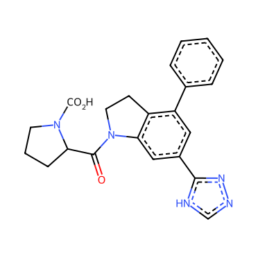 O=C(C1CCCN1C(=O)O)N1CCc2c(-c3ccccc3)cc(-c3nnc[nH]3)cc21